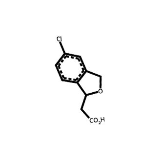 O=C(O)CC1OCc2cc(Cl)ccc21